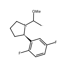 [CH2]C(OC)N1CCC[C@@H]1c1cc(F)ccc1F